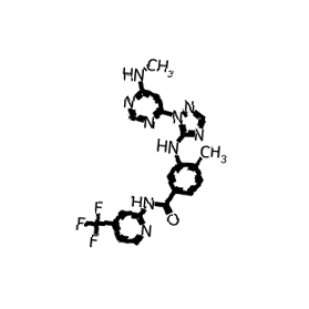 CNc1cc(-n2ncnc2Nc2cc(C(=O)Nc3cc(C(F)(F)F)ccn3)ccc2C)ncn1